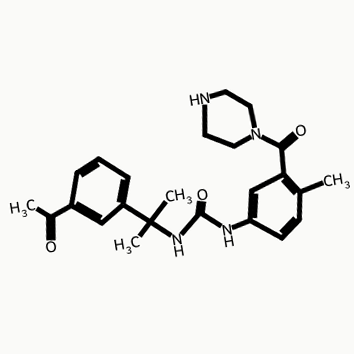 CC(=O)c1cccc(C(C)(C)NC(=O)Nc2ccc(C)c(C(=O)N3CCNCC3)c2)c1